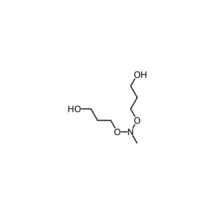 CN(OCCCO)OCCCO